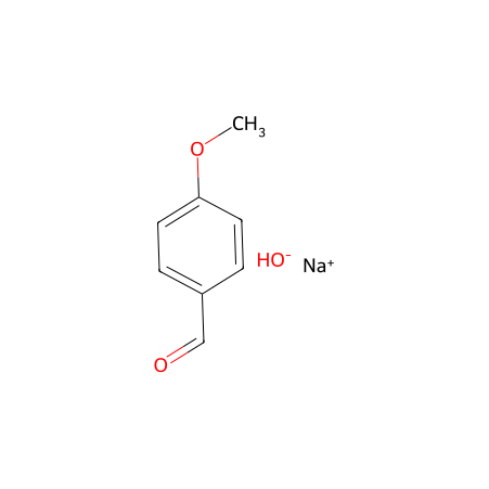 COc1ccc(C=O)cc1.[Na+].[OH-]